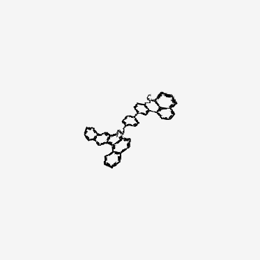 c1ccc2cc3c(cc2c1)c1c2ccccc2ccc1n3-c1ccc(-c2ccc3c(c2)-c2cccc4cccc(c24)S3)cc1